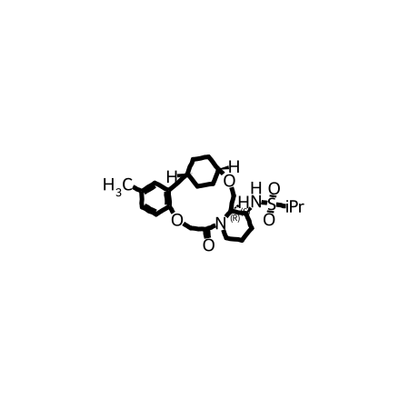 Cc1ccc2c(c1)[C@H]1CC[C@H](CC1)OC[C@H]1[C@@H](NS(=O)(=O)C(C)C)CCCN1C(=O)CO2